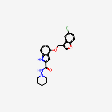 O=C(NN1CCCCC1)c1cc2c(OCc3coc4ccc(F)cc34)cccc2[nH]1